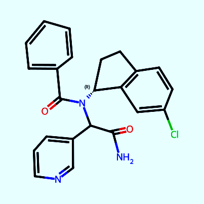 NC(=O)C(c1cccnc1)N(C(=O)c1ccccc1)[C@@H]1CCc2ccc(Cl)cc21